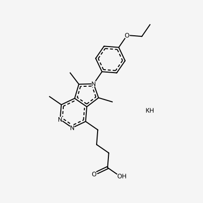 CCOc1ccc(-n2c(C)c3c(C)nnc(CCCC(=O)O)c3c2C)cc1.[KH]